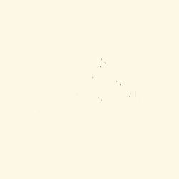 CC(C)(C)N(C(=O)O)[C@@H]1CC[C@@H](c2cccc(F)c2F)CNC1=NN